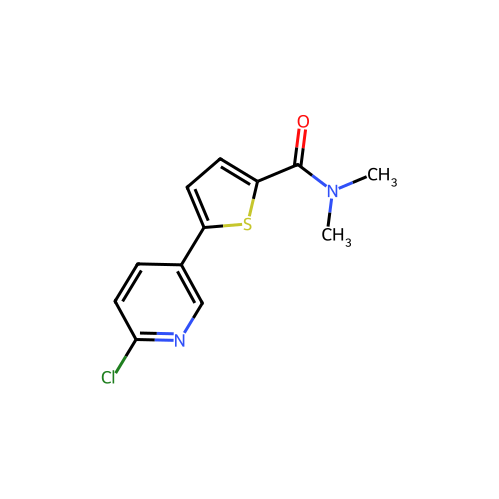 CN(C)C(=O)c1ccc(-c2ccc(Cl)nc2)s1